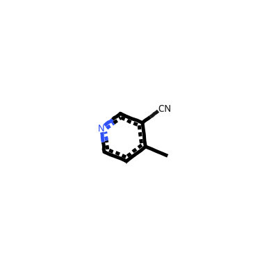 Cc1[c]cncc1C#N